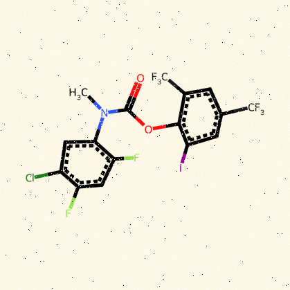 CN(C(=O)Oc1c(I)cc(C(F)(F)F)cc1C(F)(F)F)c1cc(Cl)c(F)cc1F